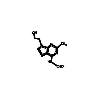 Cc1nc(N[C]=O)c2ncn(CCO)c2n1